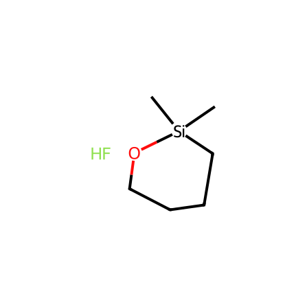 C[Si]1(C)CCCCO1.F